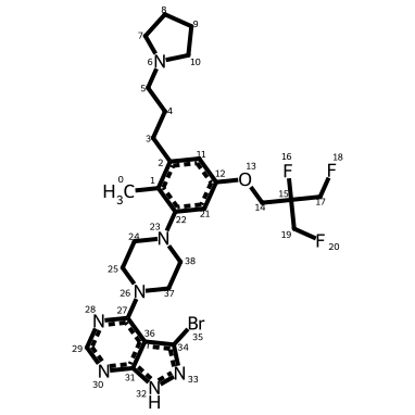 Cc1c(CCCN2CCCC2)cc(OCC(F)(CF)CF)cc1N1CCN(c2ncnc3[nH]nc(Br)c23)CC1